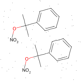 CC(C)(O[N+](=O)[O-])c1ccccc1.CC(C)(O[N+](=O)[O-])c1ccccc1